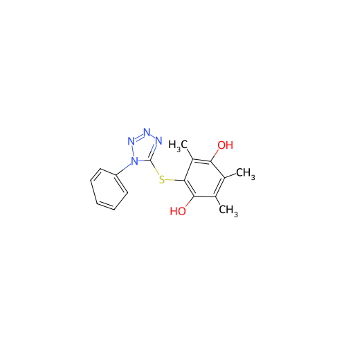 Cc1c(C)c(O)c(Sc2nnnn2-c2ccccc2)c(C)c1O